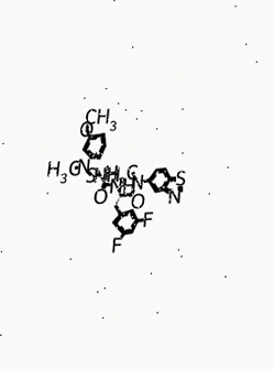 COc1cccc(N(C)SNC(=O)N[C@@H](Cc2cc(F)cc(F)c2)C(=O)N(C)c2ccc3scnc3c2)c1